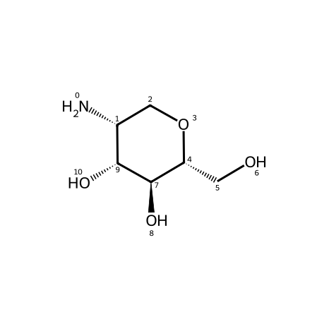 N[C@@H]1CO[C@H](CO)[C@@H](O)[C@@H]1O